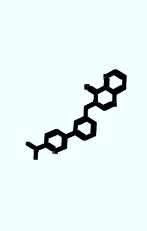 CN(C)c1ccc(-c2cccc(Cn3cnc4cccnc4c3=O)c2)cn1